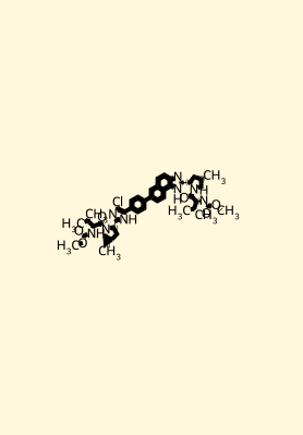 COC(=O)NC(C(=O)N1C2C(C[C@H]1c1nc(Cl)c(-c3ccc(-c4ccc5c(ccc6nc([C@@H]7C[C@H](C)CN7C(=O)[C@@H](NC(=O)OC)C(C)C)[nH]c65)c4)cc3)[nH]1)[C@H]2C)C(C)C